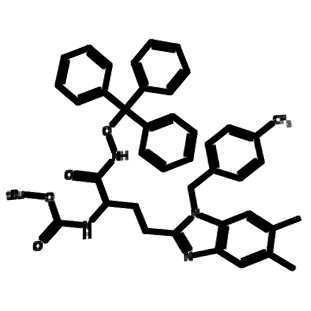 Cc1cc2nc(CCC(NC(=O)OC(C)(C)C)C(=O)NOC(c3ccccc3)(c3ccccc3)c3ccccc3)n(Cc3ccc(C(F)(F)F)cc3)c2cc1C